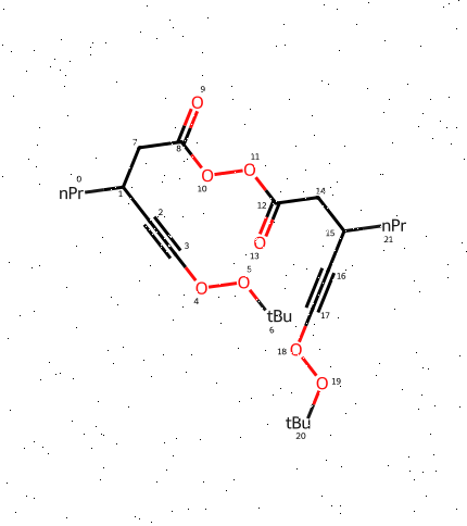 CCCC(C#COOC(C)(C)C)CC(=O)OOC(=O)CC(C#COOC(C)(C)C)CCC